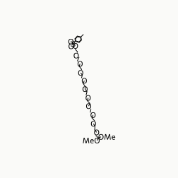 COC(COCCOCCOCCOCCOCCOCCOCCOCCOCCOCCOS(=O)(=O)c1ccc(C)cc1)OC